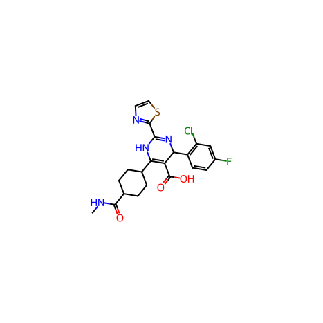 CNC(=O)C1CCC(C2=C(C(=O)O)C(c3ccc(F)cc3Cl)N=C(c3nccs3)N2)CC1